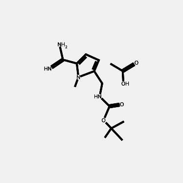 CC(=O)O.Cn1c(CNC(=O)OC(C)(C)C)ccc1C(=N)N